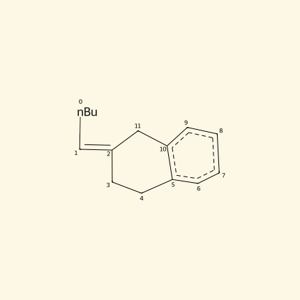 CCCCC=C1CCc2ccccc2C1